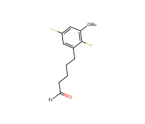 CCC(=O)CCCCc1cc(F)cc(OCC(C)C)c1F